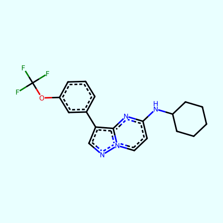 FC(F)(F)Oc1cccc(-c2cnn3ccc(NC4CCCCC4)nc23)c1